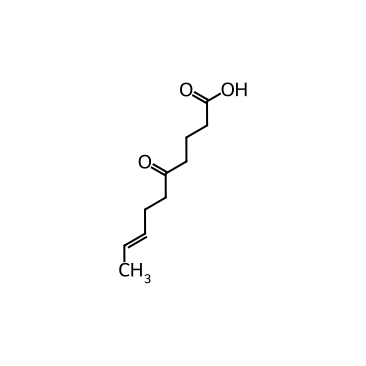 C/C=C/CCC(=O)CCCC(=O)O